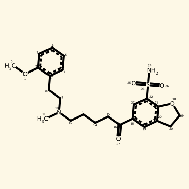 COc1ccccc1CCN(C)CCCCC(=O)c1cc2c(c(S(N)(=O)=O)c1)OCC2